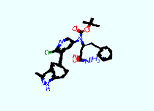 Cc1n[nH]c2ccc(-c3cc(N(C(=O)OC(C)(C)C)[C@@H](Cc4ccccc4)C(N)=O)cnc3Cl)cc12